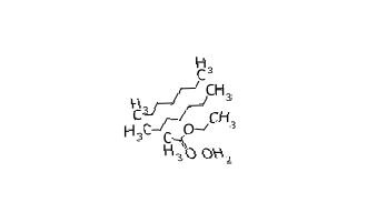 CCCCCCC.CCCCCCC.CCOC(C)=O.O